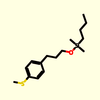 CCCC[Si](C)(C)OCCCc1ccc(SC)cc1